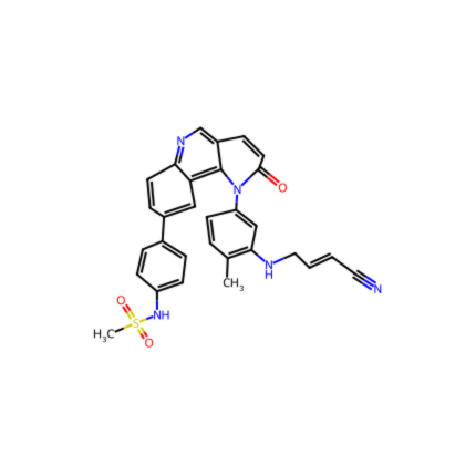 Cc1ccc(-n2c(=O)ccc3cnc4ccc(-c5ccc(NS(C)(=O)=O)cc5)cc4c32)cc1NCC=CC#N